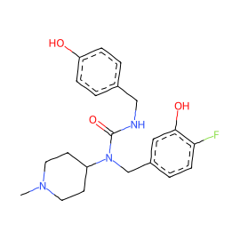 CN1CCC(N(Cc2ccc(F)c(O)c2)C(=O)NCc2ccc(O)cc2)CC1